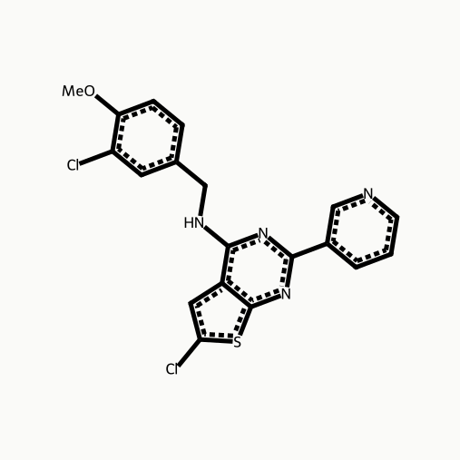 COc1ccc(CNc2nc(-c3cccnc3)nc3sc(Cl)cc23)cc1Cl